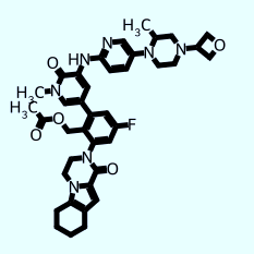 CC(=O)OCc1c(-c2cc(Nc3ccc(N4CCN(C5COC5)CC4C)cn3)c(=O)n(C)c2)cc(F)cc1N1CCn2c(cc3c2CCCC3)C1=O